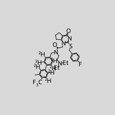 [2H]c1c([2H])c(-c2c([2H])c([2H])c(C(F)(F)F)c(C)c2[2H])c([2H])c([2H])c1CN(CCN(CC)CC)C(=O)Cn1c(SCc2ccc(F)cc2)nc(=O)c2c1CCC2